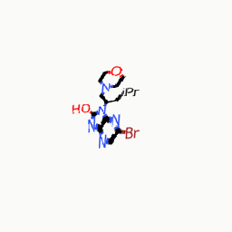 CC(C)C[C@H](CN1CCOCC1)n1c(O)nc2ncc(Br)nc21